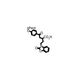 CCCCCOc1ccc(C(=O)CC(CCn2c(=O)oc3ccccc32)C(=O)O)cc1